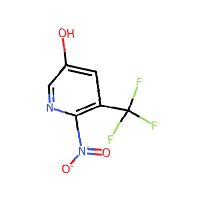 O=[N+]([O-])c1ncc(O)cc1C(F)(F)F